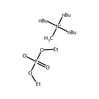 CCCC[N+](C)(CCCC)CCCC.CCOP(=O)([O-])OCC